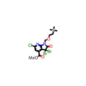 COC(=O)c1cc(Cl)nc2c1C(Br)(Br)C(=O)N2COCC[Si](C)(C)C